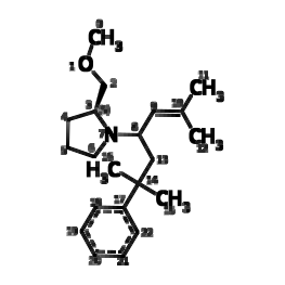 COC[C@@H]1CCCN1C(C=C(C)C)CC(C)(C)c1ccccc1